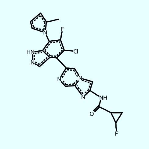 Cc1cccn1-c1c(F)c(Cl)c(-c2cn3cc(NC(=O)C4CC4F)nc3cn2)c2cn[nH]c12